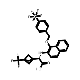 O=C(O)[C@@H](Nc1ccc2ccccc2c1OCc1ccc(S(F)(F)(F)(F)F)cc1)C12CC(C(F)(F)F)(C1)C2